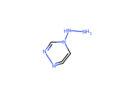 NNN1C=C=NN=C1